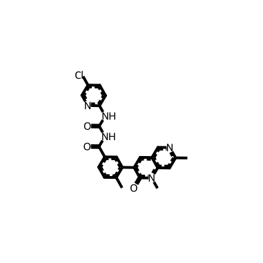 Cc1cc2c(cn1)cc(-c1cc(C(=O)NC(=O)Nc3ccc(Cl)cn3)ccc1C)c(=O)n2C